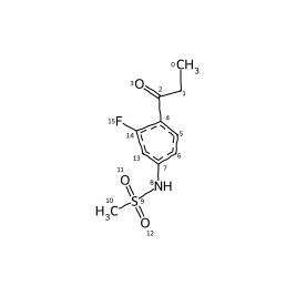 CCC(=O)c1ccc(NS(C)(=O)=O)cc1F